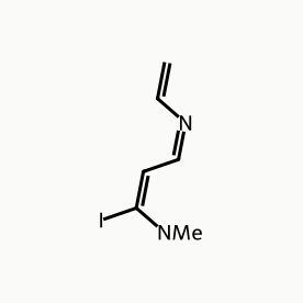 C=C/N=C\C=C(\I)NC